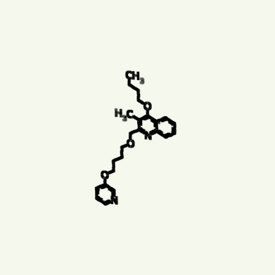 CCCCOc1c(C)c(COCCCCOc2cccnc2)nc2ccccc12